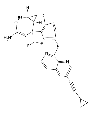 NC1=N[C@@](c2cc(Nc3nccc4cc(C#CC5CC5)cnc34)ccc2F)(C(F)F)[C@H]2C[C@H]2NO1